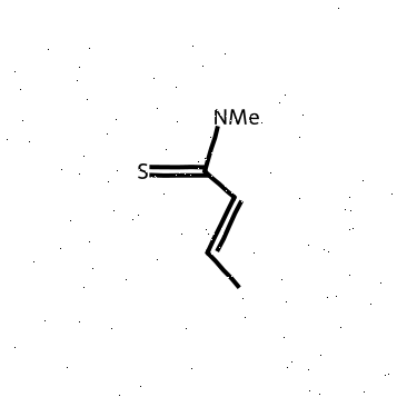 C/C=C/C(=S)NC